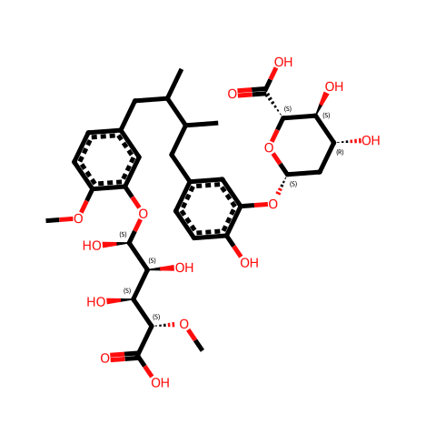 COc1ccc(CC(C)C(C)Cc2ccc(O)c(O[C@H]3C[C@@H](O)[C@H](O)[C@@H](C(=O)O)O3)c2)cc1O[C@H](O)[C@@H](O)[C@H](O)[C@H](OC)C(=O)O